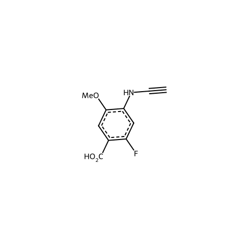 C#CNc1cc(F)c(C(=O)O)cc1OC